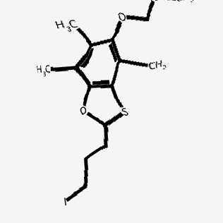 COCOc1c(C)c(C)c2c(c1C)SC(CCCI)O2